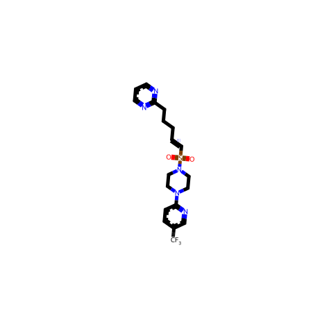 O=S(=O)(/C=C/CCCc1ncccn1)N1CCN(c2ccc(C(F)(F)F)cn2)CC1